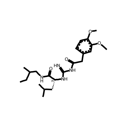 CCC(C)CNC(=O)[C@@H](CC(C)C)NC(=N)NC(=O)Cc1ccc(OC)c(OC)c1